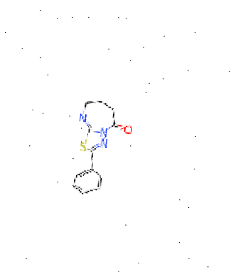 O=C1CCCN=C2SC(c3ccccc3)=NN12